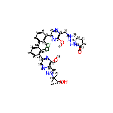 COc1nc(-c2cccc(-c3cccc(-c4cnc(CNC(C)(C)CO)c(OC)n4)c3Cl)c2Cl)cnc1CNC[C@@H]1CCC(=O)N1